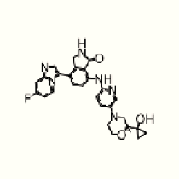 O=C1NCc2c(-c3cnc4cc(F)ccn34)ccc(Nc3ccc(N4CCO[C@H](C5(O)CC5)C4)cn3)c21